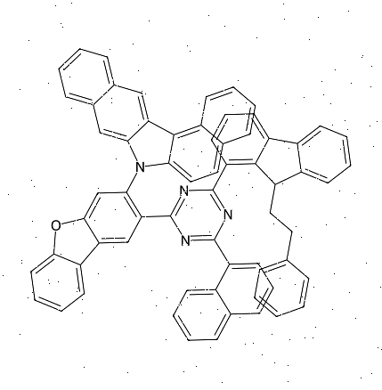 c1ccc(CCC2c3ccccc3-c3cccc(-c4nc(-c5cc6c(cc5-n5c7cc8ccccc8cc7c7c8ccccc8ccc75)oc5ccccc56)nc(-c5cccc6ccccc56)n4)c32)cc1